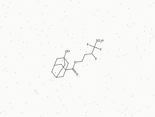 O=C(OCCC(F)C(F)(F)S(=O)(=O)O)C12CC3CC(CC(O)(C3)C1)C2